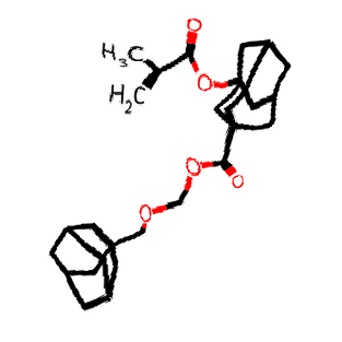 C=C(C)C(=O)OC12CC3CC(C1)CC(C(=O)OCOCC14CC5CC(CC(C5)C1)C4)(C3)C2